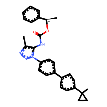 Cc1nnn(-c2ccc(-c3ccc(C4(C)CC4)cc3)cc2)c1NC(=O)O[C@H](C)c1ccccc1